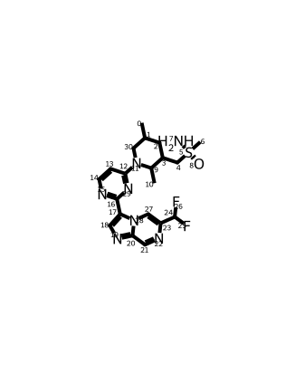 CC1CC(C[SH](C)(N)=O)C(C)N(c2ccnc(-c3cnc4cnc(C(F)F)cn34)n2)C1